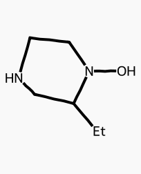 CCC1CNCCN1O